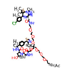 CC(=O)NCCOCCOCCOCC(C)(COCCOCCOCCNC(=O)C[C@@H]1N=C(c2ccc(Cl)cc2)c2c(sc(C)c2C)-n2c(C)nnc21)COCC(=O)N[C@H](C(=O)N1C[C@H](O)C[C@H]1C(=O)N[C@@H](C)c1ccc(-c2scnc2C)cc1)C(C)(C)C